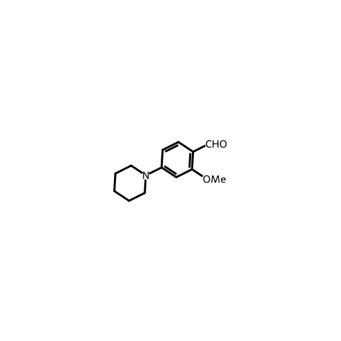 COc1cc(N2CCCCC2)ccc1C=O